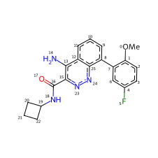 COc1ccc(F)cc1-c1cccc2c(N)c(C(=O)NC3CCC3)nnc12